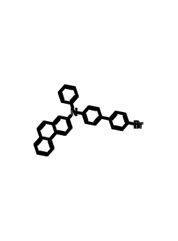 Brc1ccc(-c2ccc(N(c3ccccc3)c3ccc4c(ccc5ccccc54)c3)cc2)cc1